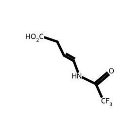 O=C(O)CC=CNC(=O)C(F)(F)F